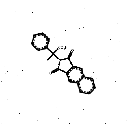 CC(C(=O)O)(c1ccccc1)N1C(=O)c2cc3ccccc3cc2C1=O